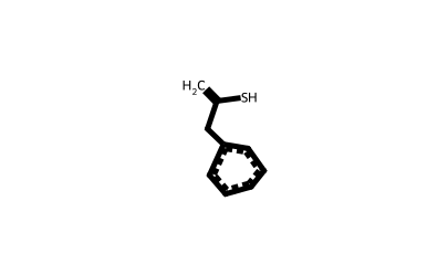 C=C(S)Cc1ccccc1